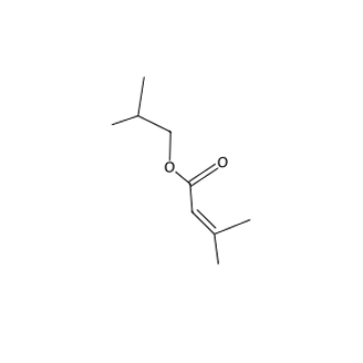 CC(C)=CC(=O)OCC(C)C